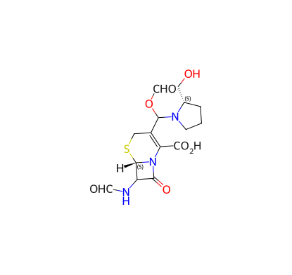 O=CNC1C(=O)N2C(C(=O)O)=C(C(OC=O)N3CCC[C@H]3CO)CS[C@@H]12